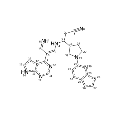 N#CCC(N/C=C(\C=N)c1ncnc2[nH]ccc12)C1CCN(c2ccc3ccsc3n2)C1